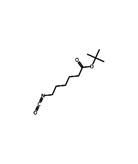 CC(C)(C)OC(=O)CCCCCN=C=O